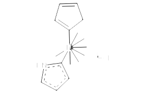 Cl.Cl.[CH3][Ti]([CH3])([CH3])([CH3])([CH3])([CH3])([CH3])([C]1=CC=CC1)[c]1ccc[nH]1